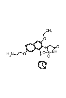 CCOc1cc2ccc(OCCN)cc2c(F)c1N1CC(=O)NS1(=O)=O.c1cc2cc(c1)C2